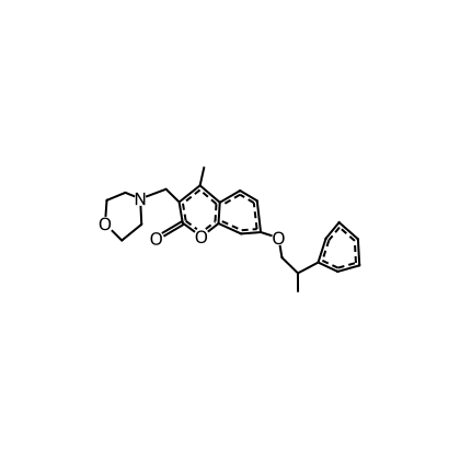 Cc1c(CN2CCOCC2)c(=O)oc2cc(OCC(C)c3ccccc3)ccc12